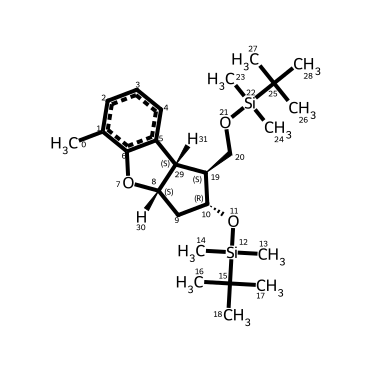 Cc1cccc2c1O[C@H]1C[C@@H](O[Si](C)(C)C(C)(C)C)[C@H](CO[Si](C)(C)C(C)(C)C)[C@@H]21